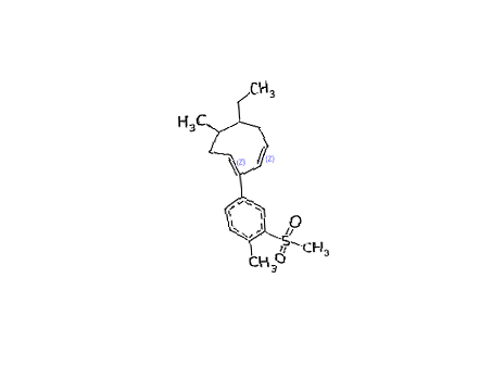 CCC1C/C=C\C(c2ccc(C)c(S(C)(=O)=O)c2)=C\CC1C